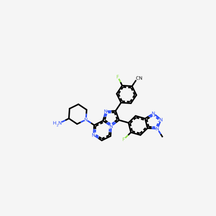 Cn1nnc2cc(-c3c(-c4ccc(C#N)c(F)c4)nc4c(N5CCCC(N)C5)nccn34)c(F)cc21